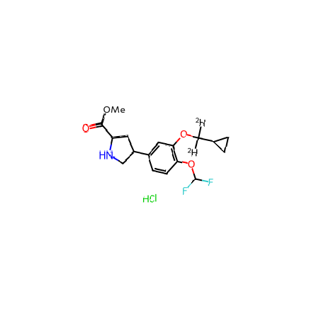 Cl.[2H]C([2H])(Oc1cc(C2CNC(C(=O)OC)C2)ccc1OC(F)F)C1CC1